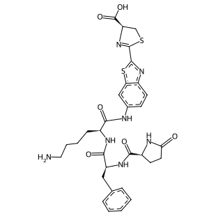 NCCCC[C@H](NC(=O)[C@H](Cc1ccccc1)NC(=O)[C@@H]1CCC(=O)N1)C(=O)Nc1ccc2nc(C3=N[C@@H](C(=O)O)CS3)sc2c1